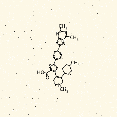 Cc1cc(C)n2nc(-c3ccc(-c4cc(C5=C(C6CCC(C)CC6)CN(C)CC5)c(C(=O)O)s4)cc3)cc2n1